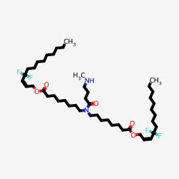 CCCCCCCCCC(F)(F)/C=C\COC(=O)CCCCCCCN(CCCCCCCC(=O)OC/C=C\C(F)(F)CCCCCCCCC)C(=O)CCCNC